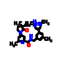 CN/C=C(\CNC)c1cc(C)cc(CNC(=O)c2cc(N3CC[C@@](C)(C4CC4)C3=O)cc(C)n2)c1